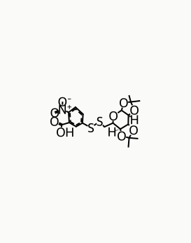 CC1(C)OC2[C@@H](O1)C(CSSc1ccc([N+](=O)[O-])c(C(=O)O)c1)OC1OC(C)(C)O[C@@H]12